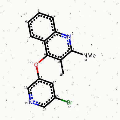 CNc1nc2ccccc2c(Oc2cncc(Br)c2)c1C